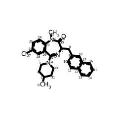 CC1CCN(C2=NC(Cc3ccc4ccccc4c3)C(=O)N(C)c3ccc(Cl)cc32)CC1